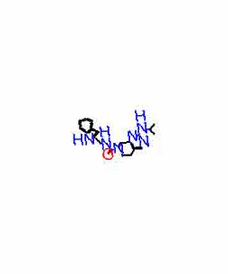 CC(C)Nc1ncc2c(n1)CN(C(=O)NCc1cc3ccccc3[nH]1)CC2